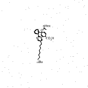 CCCCCC[C@@H](C)OC1(c2ccccc2-c2ncc(CCCCCCCC[C@@H](C)CC)cn2)C=CC(C(=O)O)C=C1